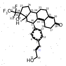 CC12C[C@H](c3ccc(/C=C/CO)cc3)C3=C4CCC(=O)C=C4CCC3C1CCC2(O)C(F)(F)C(F)(F)F